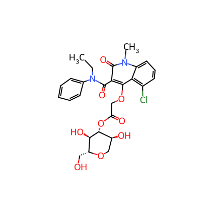 CCN(C(=O)c1c(OCC(=O)O[C@H]2[C@H](O)[C@@H](CO)OC[C@@H]2O)c2c(Cl)cccc2n(C)c1=O)c1ccccc1